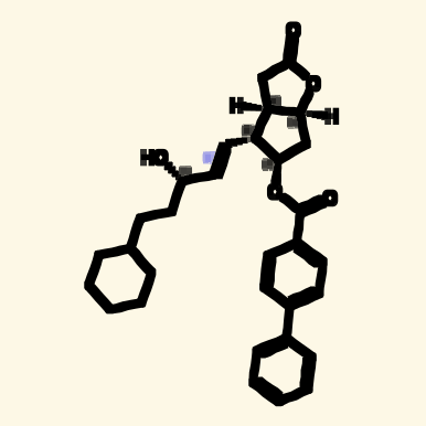 O=C1C[C@@H]2[C@@H](/C=C/[C@@H](O)CCC3CCCCC3)[C@H](OC(=O)c3ccc(-c4ccccc4)cc3)C[C@@H]2O1